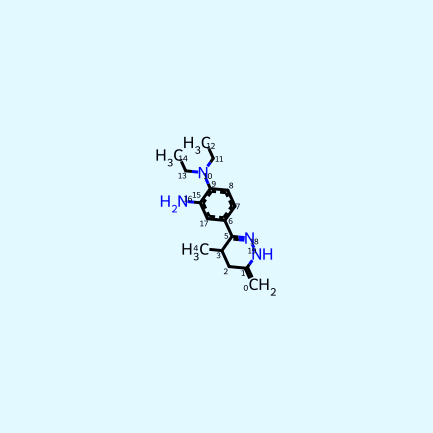 C=C1CC(C)C(c2ccc(N(CC)CC)c(N)c2)=NN1